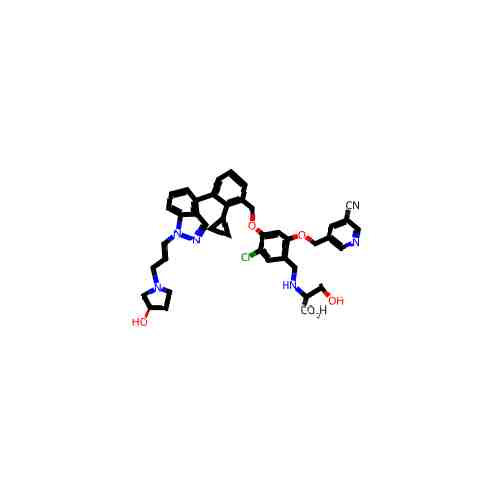 N#Cc1cncc(COc2cc(OCc3cccc(-c4cccc5c4cnn5CCCN4CC[C@@H](O)C4)c3C3CC3)c(Cl)cc2CNC(CO)C(=O)O)c1